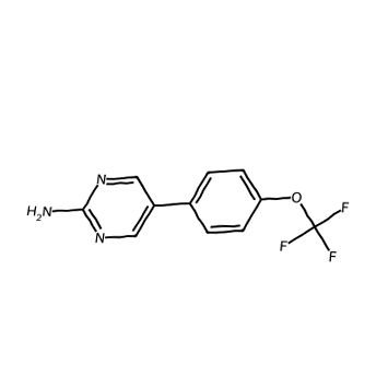 Nc1ncc(-c2ccc(OC(F)(F)F)cc2)cn1